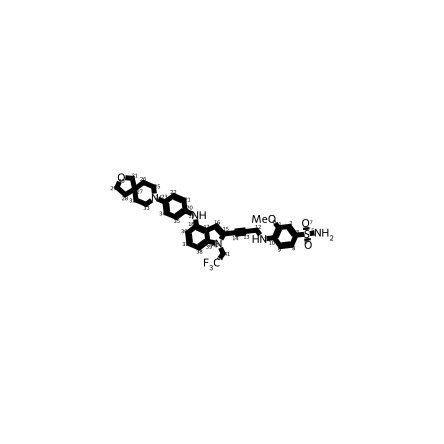 COc1cc(S(N)(=O)=O)ccc1NCC#Cc1cc2c(Nc3ccc(N4CCC5(CCOC5)CC4)cc3)cccc2n1CC(F)(F)F